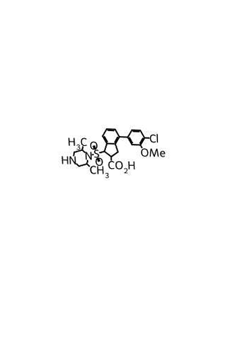 COc1cc(-c2cccc3c2CC(C(=O)O)C3S(=O)(=O)N2C(C)CNCC2C)ccc1Cl